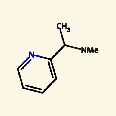 [CH2-][NH2+]C(C)c1ccccn1